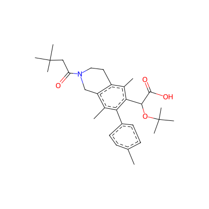 Cc1ccc(-c2c(C)c3c(c(C)c2C(OC(C)(C)C)C(=O)O)CCN(C(=O)CC(C)(C)C)C3)cc1